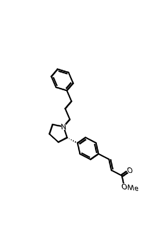 COC(=O)C=Cc1ccc([C@@H]2CCCN2CCCc2ccccc2)cc1